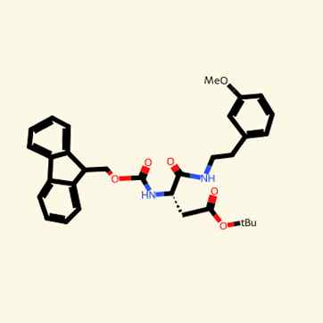 COc1cccc(CCNC(=O)[C@H](CC(=O)OC(C)(C)C)NC(=O)OCC2c3ccccc3-c3ccccc32)c1